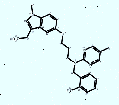 Cc1cnc(N(CCCOc2ccc3c(c2)c(CC(=O)O)cn3C)Cc2ccccc2C(F)(F)F)nc1